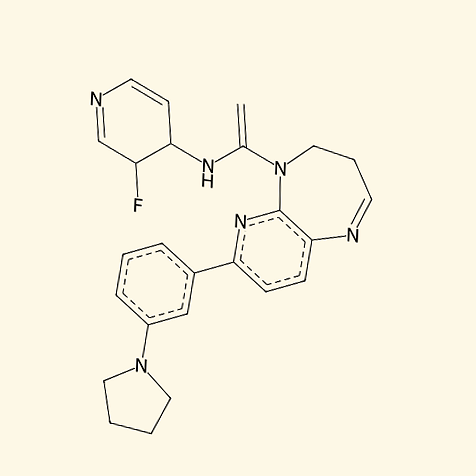 C=C(NC1C=CN=CC1F)N1CCC=Nc2ccc(-c3cccc(N4CCCC4)c3)nc21